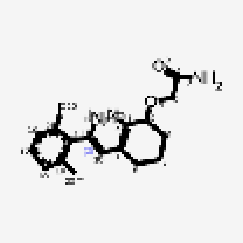 NC(=O)COC1CCCC(/C=C(\N)c2c(F)cccc2F)=C1N